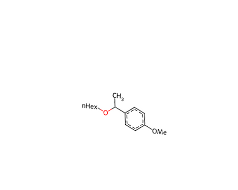 CCCCCCOC(C)c1ccc(OC)cc1